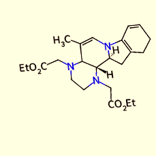 CCOC(=O)CN1CCN(CC(=O)OCC)[C@@H]2C1C(C)=CN1C3=C(CCC=C3)C[C@@H]21